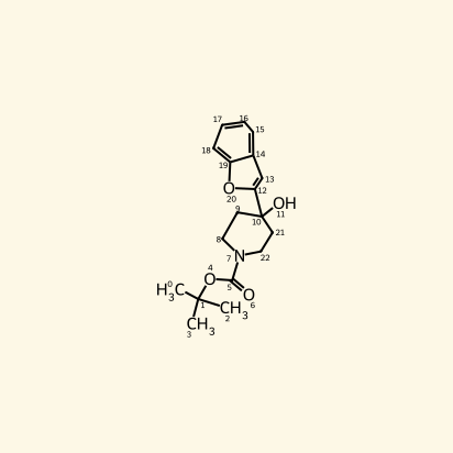 CC(C)(C)OC(=O)N1CCC(O)(c2cc3ccccc3o2)CC1